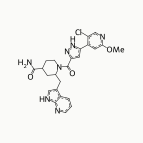 COc1cc(-c2cc(C(=O)N3CCC(C(N)=O)CC3Cc3c[nH]c4ncccc34)n[nH]2)c(Cl)cn1